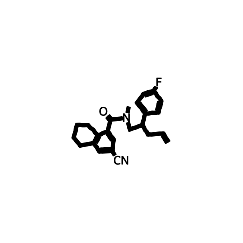 C=CCC(CN(C)C(=O)c1cc(C#N)cc2c1CCCC2)c1ccc(F)cc1